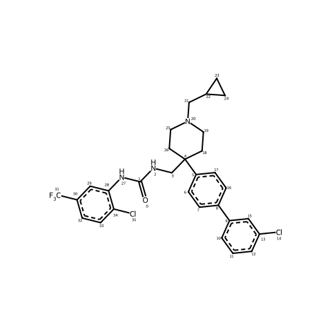 O=C(NCC1(c2ccc(-c3cccc(Cl)c3)cc2)CCN(CC2CC2)CC1)Nc1cc(C(F)(F)F)ccc1Cl